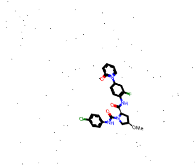 CO[C@@H]1C[C@H](C(=O)NC2=C(F)CC(n3ccccc3=O)C=C2)N(C(=O)Nc2ccc(Cl)cc2)C1